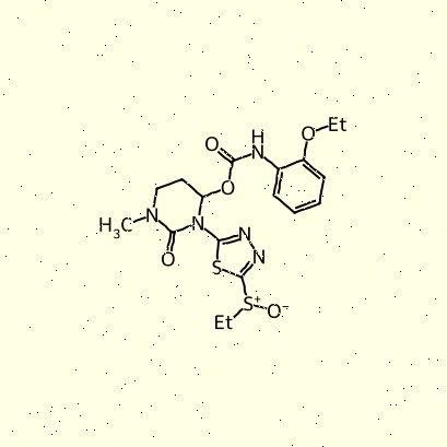 CCOc1ccccc1NC(=O)OC1CCN(C)C(=O)N1c1nnc([S+]([O-])CC)s1